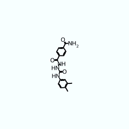 Cc1ccc(NC(=O)NNC(=O)c2ccc(C(N)=O)cc2)cc1C